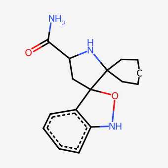 NC(=O)C1CC2(ONc3ccccc32)C2(CCCCC2)N1